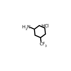 Cl.NC1CCCC(C(F)(F)F)C1